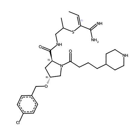 C/C=C(\SC(C)CNC(=O)[C@@H]1C[C@@H](OCc2ccc(Cl)cc2)CN1C(=O)CCCC1CCNCC1)C(=N)N